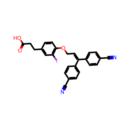 N#Cc1ccc(C(=CCOc2ccc(CCC(=O)O)cc2I)c2ccc(C#N)cc2)cc1